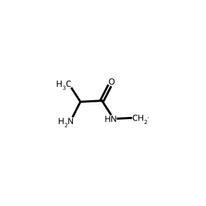 [CH2]NC(=O)C(C)N